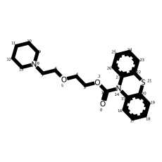 O=C(OCCOCCN1CCCCC1)N1c2ccccc2Sc2ccccc21